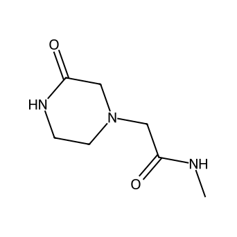 CNC(=O)CN1CCNC(=O)C1